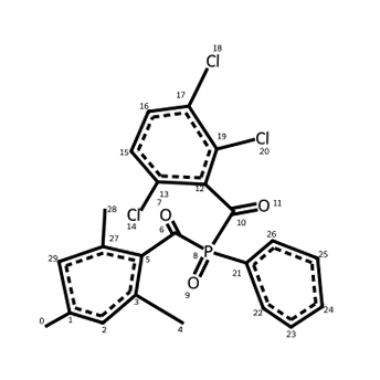 Cc1cc(C)c(C(=O)P(=O)(C(=O)c2c(Cl)ccc(Cl)c2Cl)c2ccccc2)c(C)c1